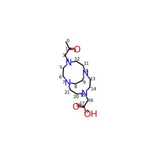 CC(=O)CN1CCN2CCN(CC1)CCN(CC(=O)O)CC2